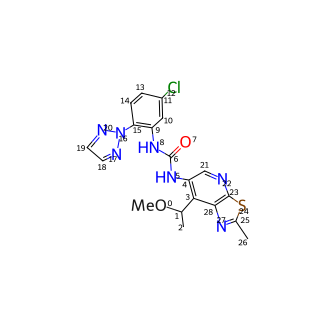 COC(C)c1c(NC(=O)Nc2cc(Cl)ccc2-n2nccn2)cnc2sc(C)nc12